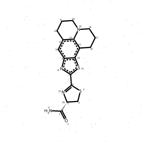 NC(=O)[C@H]1CSC(c2nc3cc4c5c(c3s2)CCCN5CCC4)=N1